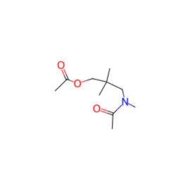 CC(=O)OCC(C)(C)CN(C)C(C)=O